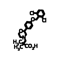 CC(C)(CN1CCOC(c2ccc(OCc3c(Cl)cccc3Cl)cc2)C1)C(=O)O